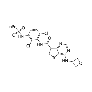 CCCS(=O)(=O)Nc1ccc(Cl)c(NC(=O)C2CSc3c(NC4COC4)ncnc32)c1Cl